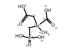 C[N+](CC(=O)O)(CP(=O)(O)O)C(=O)O